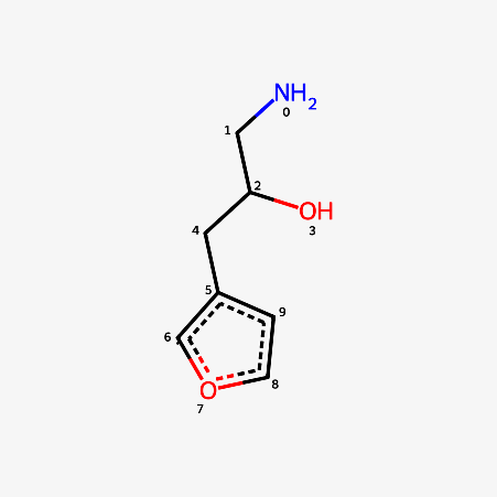 NCC(O)Cc1[c]occ1